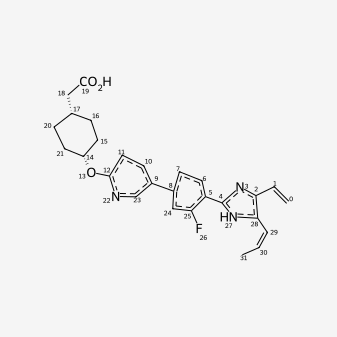 C=Cc1nc(-c2ccc(-c3ccc(O[C@H]4CC[C@@H](CC(=O)O)CC4)nc3)cc2F)[nH]c1/C=C\C